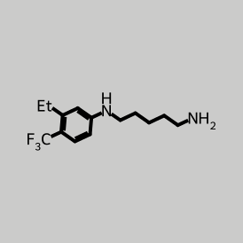 CCc1cc(NCCCCCN)ccc1C(F)(F)F